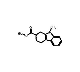 Cn1c2c(c3ccccc31)CCN(C(=O)OC(C)(C)C)C2